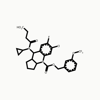 O=C(O)CCC(=O)N(C1CC1)C1c2cc(F)c(Cl)cc2N(C(=O)OCc2cccc(OC(F)(F)F)c2)C2CCCC21